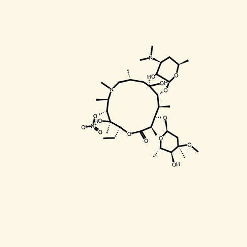 CC[C@H]1OC(=O)[C@H](C)[C@@H](O[C@H]2C[C@@](C)(OC)[C@@H](O)[C@H](C)O2)[C@H](C)[C@@H](O[C@@H]2O[C@H](C)C[C@H](N(C)C)[C@H]2O)[C@](C)(O)C[C@@H](C)CN(C)[C@H](C)[C@@H](O[N+](=O)[O-])[C@]1(C)O